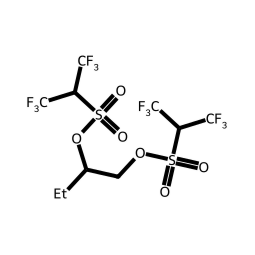 CCC(COS(=O)(=O)C(C(F)(F)F)C(F)(F)F)OS(=O)(=O)C(C(F)(F)F)C(F)(F)F